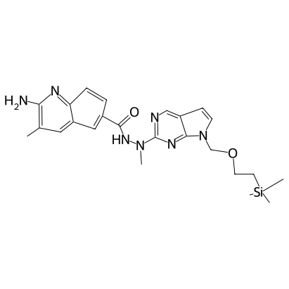 Cc1cc2cc(C(=O)NN(C)c3ncc4ccn(COCC[Si](C)(C)C)c4n3)ccc2nc1N